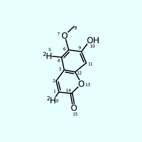 [2H]c1cc2c([2H])c(OC)c(O)cc2oc1=O